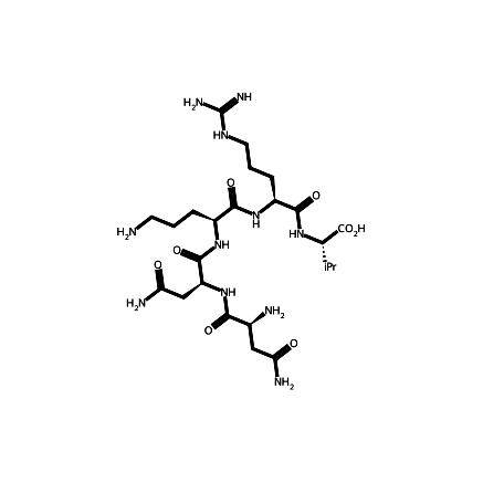 CC(C)[C@H](NC(=O)[C@H](CCCNC(=N)N)NC(=O)[C@H](CCCN)NC(=O)[C@H](CC(N)=O)NC(=O)[C@@H](N)CC(N)=O)C(=O)O